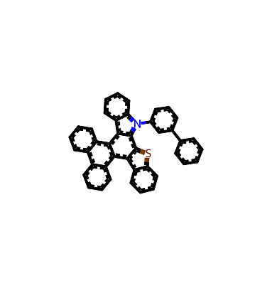 c1ccc(-c2cccc(-n3c4ccccc4c4c5c6ccccc6c6ccccc6c5c5c6ccccc6sc5c43)c2)cc1